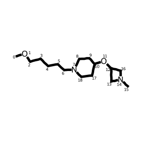 COCCCCCN1CCC(OC2CN(C)C2)CC1